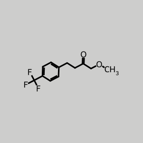 COCC(=O)CCc1ccc(C(F)(F)F)cc1